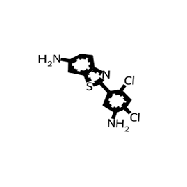 Nc1ccc2nc(-c3cc(N)c(Cl)cc3Cl)sc2c1